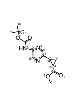 COC(=O)[C@H]1C[C@@H]1c1cnc(NC(=O)OC(C)(C)C)cn1